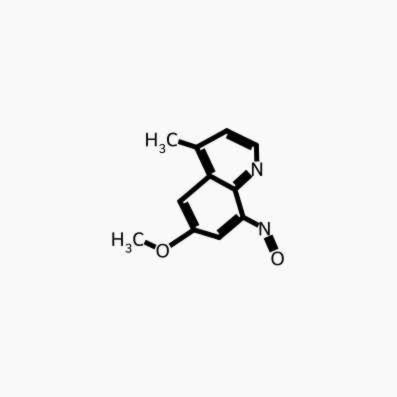 COc1cc(N=O)c2nccc(C)c2c1